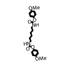 COc1ccc(OC(=O)NCCCCCCNC(=O)Oc2ccc(OC)cc2)cc1